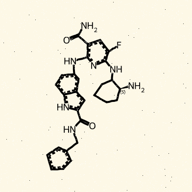 NC(=O)c1cc(F)c(NC2CCCC[C@@H]2N)nc1Nc1ccc2[nH]c(C(=O)NCc3ccccc3)cc2c1